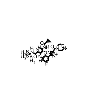 BC(B)(B)NC(=O)c1nnc(NC(=O)C2CC2)cc1Nc1cc(F)cc(-c2cc(C(=O)N3CCCN(C)CC3)n(C)n2)c1OC